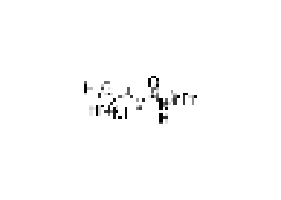 CCCNC(=O)CCC1(C)NN1